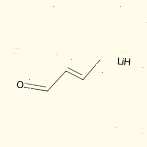 CC=CC=O.[LiH]